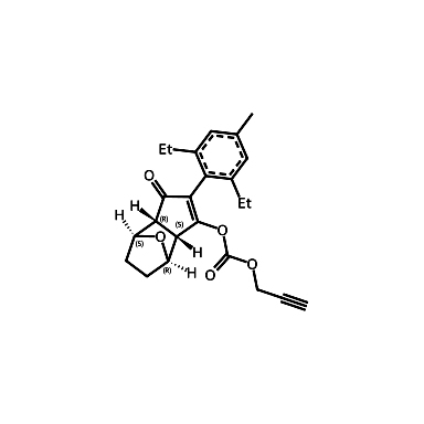 C#CCOC(=O)OC1=C(c2c(CC)cc(C)cc2CC)C(=O)[C@@H]2[C@H]1[C@H]1CC[C@@H]2O1